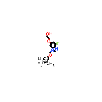 C[Si](C)(C)CCOCn1cnc2c(F)cc(OCCO)cc21